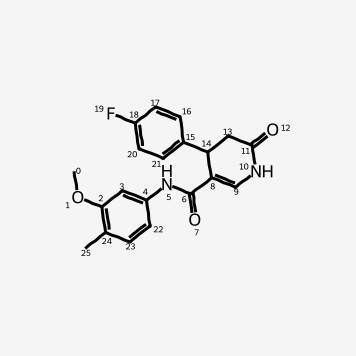 COc1cc(NC(=O)C2=CNC(=O)CC2c2ccc(F)cc2)ccc1C